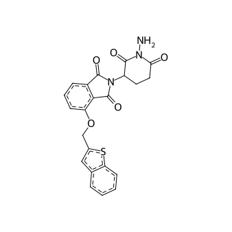 NN1C(=O)CCC(N2C(=O)c3cccc(OCc4cc5ccccc5s4)c3C2=O)C1=O